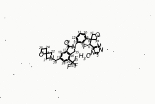 Cn1cnnc1[C@@H](F)C1(c2cccc(N3Cc4c(cc(CN5CC6(CCO6)C5)cc4C(F)(F)F)C3=O)c2)COC1